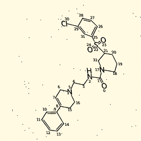 O=C(NCCN1CC=C(c2ccccc2)CC1)N1CCCC(S(=O)(=O)c2cccc(Cl)c2)C1